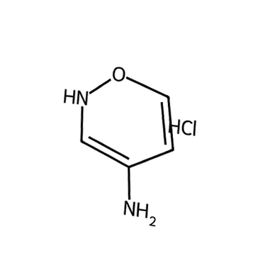 Cl.NC1=CNOC=C1